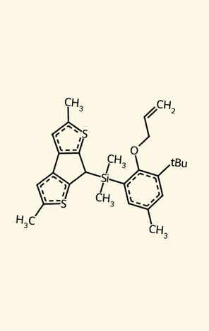 C=CCOc1c(C(C)(C)C)cc(C)cc1[Si](C)(C)C1c2sc(C)cc2-c2cc(C)sc21